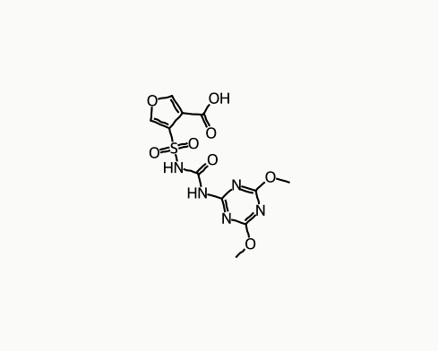 COc1nc(NC(=O)NS(=O)(=O)c2cocc2C(=O)O)nc(OC)n1